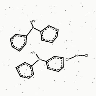 CCCP(c1ccccc1)c1ccccc1.CCCP(c1ccccc1)c1ccccc1.[Cl][Ni][Cl]